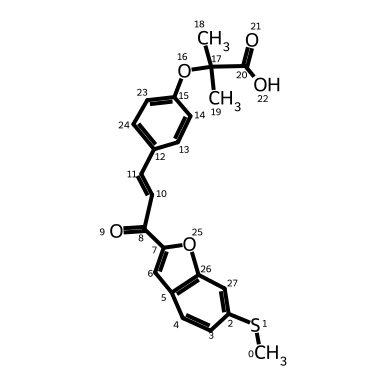 CSc1ccc2cc(C(=O)/C=C/c3ccc(OC(C)(C)C(=O)O)cc3)oc2c1